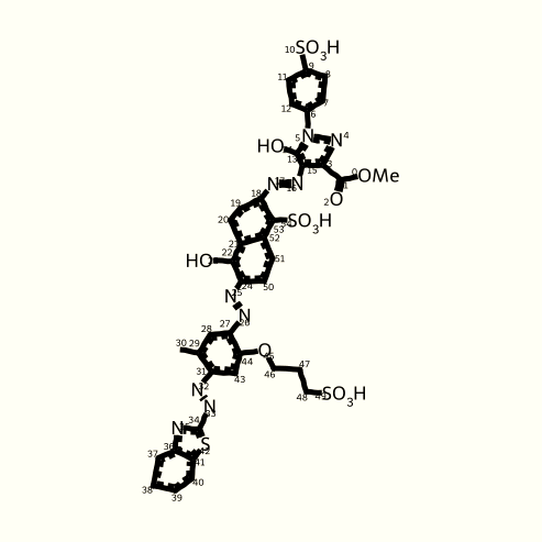 COC(=O)c1nn(-c2ccc(S(=O)(=O)O)cc2)c(O)c1N=Nc1ccc2c(O)c(N=Nc3cc(C)c(N=Nc4nc5ccccc5s4)cc3OCCCS(=O)(=O)O)ccc2c1S(=O)(=O)O